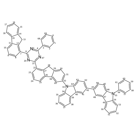 c1ccc(-c2nc(-c3cccc4c3Cc3ccccc3-4)nc(-c3cccc4c3Cc3ccc(-n5c6ccccc6c6cc(-c7ccc8c(c7)c7ccccc7n8-c7ccccc7)ccc65)cc3-4)n2)cc1